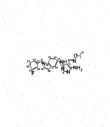 CCON=Cc1c(N)ncnc1Nc1ccc2c(ccn2Cc2cccc(F)c2)c1